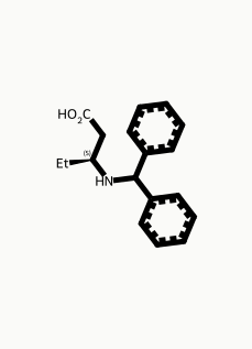 CC[C@@H](CC(=O)O)NC(c1ccccc1)c1ccccc1